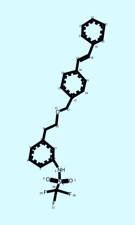 O=S(=O)(Nc1cccc(CCOCc2ccc(C=Cc3ccccc3)cc2)c1)C(F)(F)F